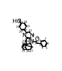 O=C(Cc1ccccc1)Nc1ncc(-c2ccc(O)cc2)nc1CC12CC3CC(CC(C3)C1)C2